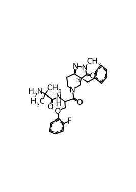 CN1N=C2CCN(C(=O)C(COc3ccccc3F)NC(=O)C(C)(C)N)C[C@@]2(Cc2ccccc2)C1=O